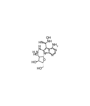 N=C(NO)c1c(NN)n([C@@H]2O[C@H](CO)[C@@H](O)[C@H]2O)c2ncnc(N)c12